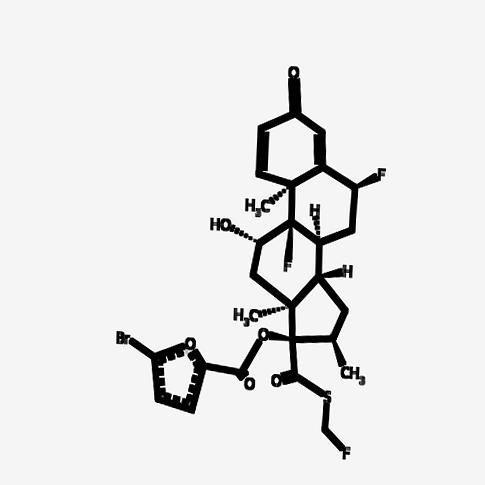 C[C@@H]1C[C@H]2[C@@H]3C[C@H](F)C4=CC(=O)C=C[C@]4(C)[C@@]3(F)[C@@H](O)C[C@]2(C)[C@@]1(OC(=O)c1ccc(Br)o1)C(=O)SCF